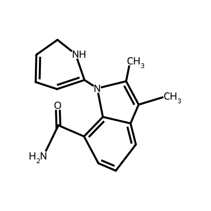 Cc1c(C)n(C2=CC=CCN2)c2c(C(N)=O)cccc12